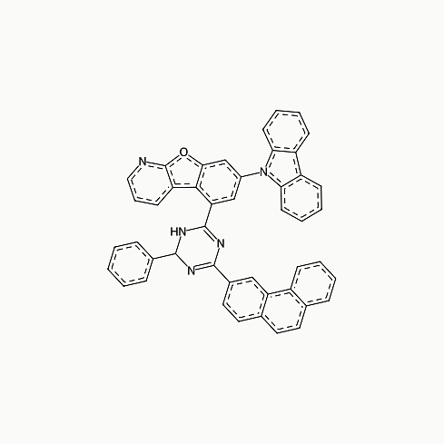 c1ccc(C2N=C(c3ccc4ccc5ccccc5c4c3)N=C(c3cc(-n4c5ccccc5c5ccccc54)cc4oc5ncccc5c34)N2)cc1